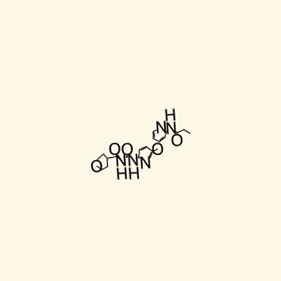 CCC(=O)Nc1cc(Oc2ccc(NC(=O)NC(=O)C3CCOCC3)nc2)ccn1